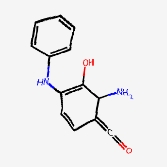 NC1C(=C=O)C=CC(Nc2ccccc2)=C1O